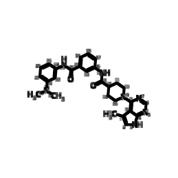 Cc1c[nH]c2ncnc(N3CCC(C(=O)Nc4cccc(C(=O)Nc5cccc(N(C)C)c5)c4)CC3)c12